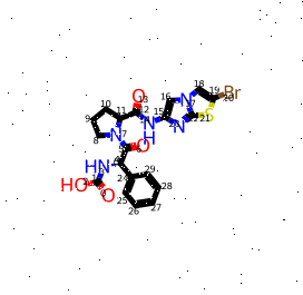 O=C(O)N[C@H](C(=O)N1CCCC1C(=O)Nc1cn2cc(Br)sc2n1)c1ccccc1